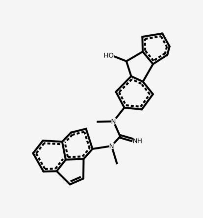 CN(C(=N)N(C)c1ccc2cccc3c2c1C=C3)c1ccc2c(c1)C(O)c1ccccc1-2